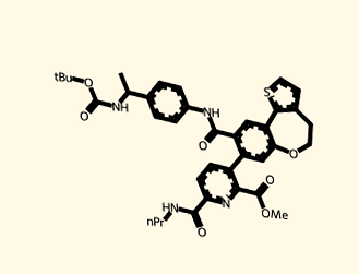 CCCNC(=O)c1ccc(-c2cc3c(cc2C(=O)Nc2ccc(C(C)NC(=O)OC(C)(C)C)cc2)-c2sccc2CCO3)c(C(=O)OC)n1